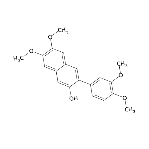 COc1ccc(-c2cc3cc(OC)c(OC)cc3cc2O)cc1OC